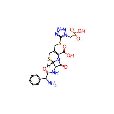 NC(C(=O)NC1C(=O)N2C(C(=O)O)=C(CSc3nnnn3CS(=O)(=O)O)CS[C@@H]12)c1ccccc1